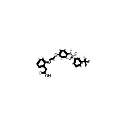 O=C(O)Cc1ccccc1OCCOc1ccc(NS(=O)(=O)c2cccc(C(F)(F)F)c2)cc1